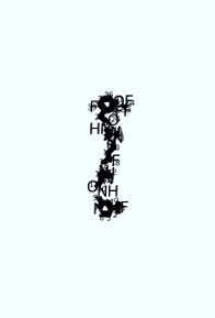 CC(C)(F)c1ccnc(CNC(=O)c2cn(CC(F)CCn3cc(NC(=O)Cc4cc(OC(F)(F)F)ccc4F)nn3)nn2)c1